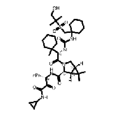 CCC[C@H](NC(=O)[C@@H]1[C@@H]2[C@H](CN1C(=O)[C@@H](NC(=O)NC1(CS(=O)(=O)C(C)(C)CO)CCCCC1)C1(C)CCCCC1)C2(C)C)C(=O)C(=O)NC1CC1